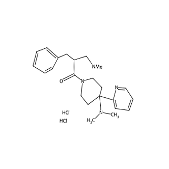 CNCC(Cc1ccccc1)C(=O)N1CCC(c2ccccn2)(N(C)C)CC1.Cl.Cl